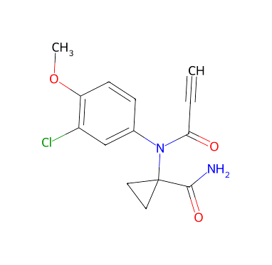 C#CC(=O)N(c1ccc(OC)c(Cl)c1)C1(C(N)=O)CC1